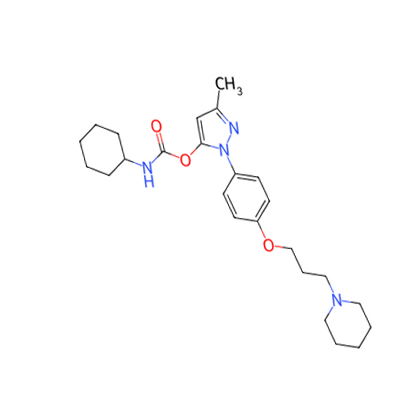 Cc1cc(OC(=O)NC2CCCCC2)n(-c2ccc(OCCCN3CCCCC3)cc2)n1